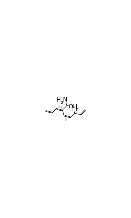 C=C/C=C(\C=C/C(C=C)CC)C(N)O